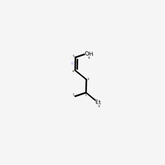 CCC(C)C/C=C\O